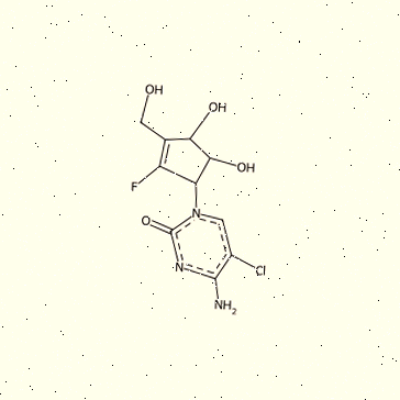 Nc1nc(=O)n(C2C(F)=C(CO)C(O)C2O)cc1Cl